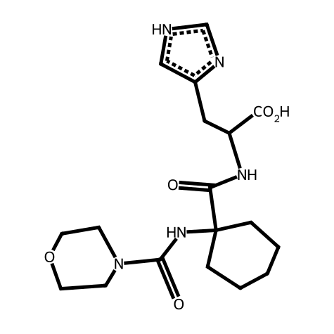 O=C(O)C(Cc1c[nH]cn1)NC(=O)C1(NC(=O)N2CCOCC2)CCCCC1